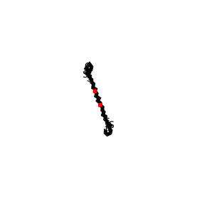 S=C(SSCCCCCCCCCCCCCCCCCCSSC(=S)N1CCCCC1)N1CCCCC1